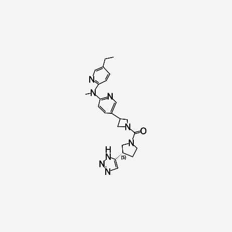 CCc1ccc(N(C)c2ccc(C3CN(C(=O)N4CC[C@H](c5cnn[nH]5)C4)C3)cn2)nc1